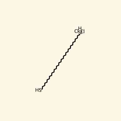 SCCCCCCCCCCCCCCCCCCCCCCCCCCCCCCCCC[SiH](Cl)Cl